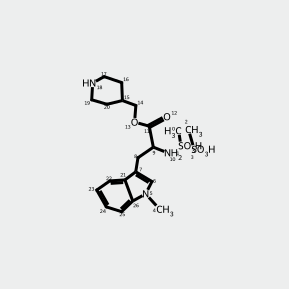 CS(=O)(=O)O.CS(=O)(=O)O.Cn1cc(CC(N)C(=O)OCC2CCNCC2)c2ccccc21